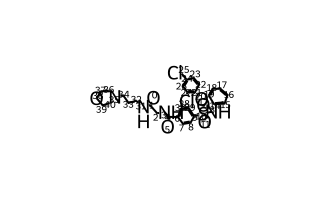 O=C(CNC(=O)c1ccc(S(=O)(=O)Nc2ccccc2Oc2ccc(Cl)cc2Cl)cc1)NCCCN1CCOCC1